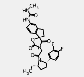 CC[C@H]1CC[C@@H](c2ccc(F)c(F)c2)N1C(=O)CN1C(=O)O[C@@]2(CCc3cc(NC(=O)NC)ccc32)C1=O